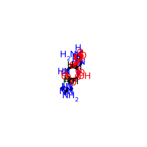 COc1ccc(COC2[C@H]3OP(=O)(O)OC[C@H]4O[C@@H](n5cnc6c(N)ncnc65)[C@H](F)[C@@H]4OS(=O)(=O)NC[C@H]2O[C@H]3n2cnc3c(=O)[nH]c(N)nc32)cc1